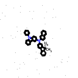 CC1(C)c2cc(N(c3ccc4ccccc4c3)c3ccc4c(c3)c3ccccc3n4-c3ccccc3)ccc2C2=CC=CCC21